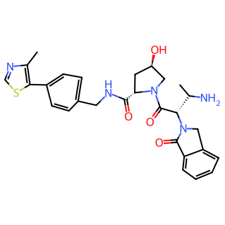 Cc1ncsc1-c1ccc(CNC(=O)[C@@H]2C[C@@H](O)CN2C(=O)[C@H](C(C)N)N2Cc3ccccc3C2=O)cc1